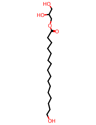 O=C(CCCCCCCCCCCCCCCO)OCC(O)CO